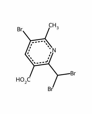 Cc1nc(C(Br)Br)c(C(=O)O)cc1Br